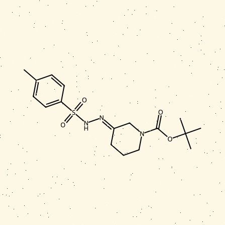 Cc1ccc(S(=O)(=O)NN=C2CCCN(C(=O)OC(C)(C)C)C2)cc1